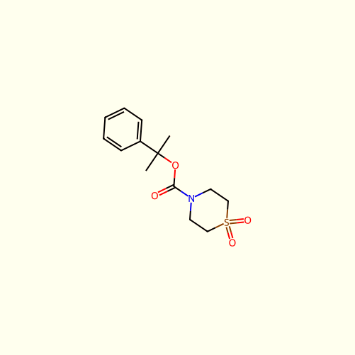 CC(C)(OC(=O)N1CCS(=O)(=O)CC1)c1ccccc1